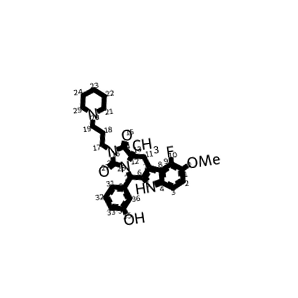 COc1ccc2[nH]c3c(c2c1F)CC1(C)C(=O)N(CCCN2CCCCC2)C(=O)N1C3c1cccc(O)c1